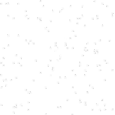 OC(O)(C1CCOCC1)N1CC2CCCC2C1